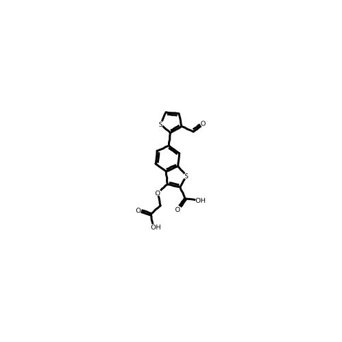 O=Cc1ccsc1-c1ccc2c(OCC(=O)O)c(C(=O)O)sc2c1